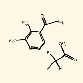 NC(=O)c1cccc(C(F)(F)F)c1C(F)(F)F.O=C(O)C(F)(F)F